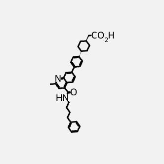 Cc1cc(C(=O)NCCCCc2ccccc2)c2ccc(-c3ccc([C@H]4CC[C@H](CC(=O)O)CC4)cc3)cc2n1